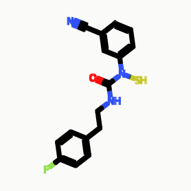 N#Cc1[c]ccc(N(S)C(=O)NCCc2ccc(F)cc2)c1